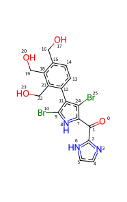 O=C(c1ncc[nH]1)c1[nH]c(Br)c(-c2ccc(CO)c(CO)c2CO)c1Br